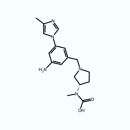 Cc1cn(-c2cc(N)cc(CN3CC[C@H](N(C)C(=O)O)C3)c2)cn1